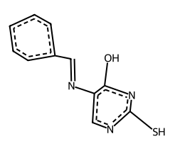 Oc1nc(S)ncc1N=Cc1ccccc1